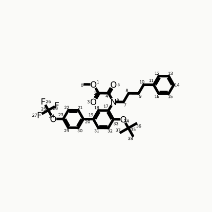 COC(=O)C(=O)N(CCCCc1ccccc1)c1cc(-c2ccc(OC(F)(F)F)cc2)ccc1OC(C)(C)C